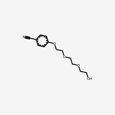 N#Cc1ccc(OCCOCCOCCO)cc1